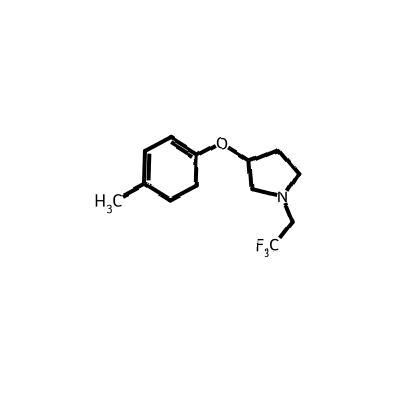 CC1=CC=C(OC2CCN(CC(F)(F)F)C2)CC1